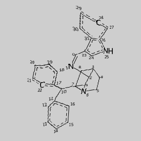 C(=N/C1C2CCN(CC2)C1C(c1ccccc1)c1ccccc1)/c1c[nH]c2ccccc12